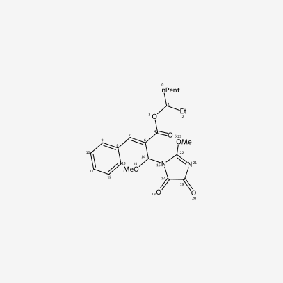 CCCCCC(CC)OC(=O)C(=Cc1ccccc1)C(OC)N1C(=O)C(=O)N=C1OC